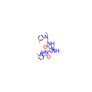 CCN(CCNC(=O)c1n[nH]cc1NC(=O)c1cccc(C)n1)c1cccc(C)c1